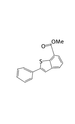 COC(=O)c1cccc2cc(-c3ccccc3)sc12